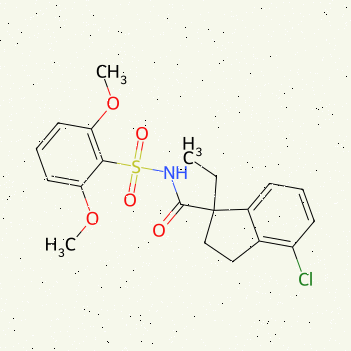 CCC1(C(=O)NS(=O)(=O)c2c(OC)cccc2OC)CCc2c(Cl)cccc21